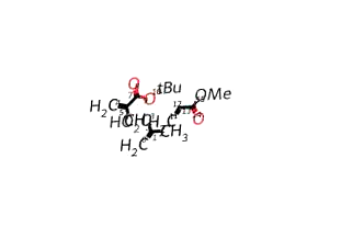 C=C(C)C(=O)O.C=C(C)C(=O)OC(C)(C)C.C=CC(=O)OC